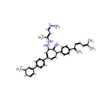 C=C(/C=C\C=C(C)C)c1ccc(C2C=CC(c3ccc(C4=CC(C)CC=C4)cc3)=CC(NN/C(C)=C/C=N\C)C2=N)cc1